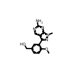 COc1ccc(CO)cc1-c1nn(C)c2nc(N)ncc12